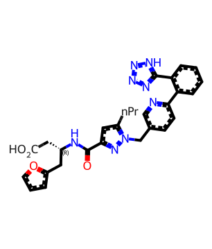 CCCc1cc(C(=O)N[C@@H](CC(=O)O)Cc2ccco2)nn1Cc1ccc(-c2ccccc2-c2nnn[nH]2)nc1